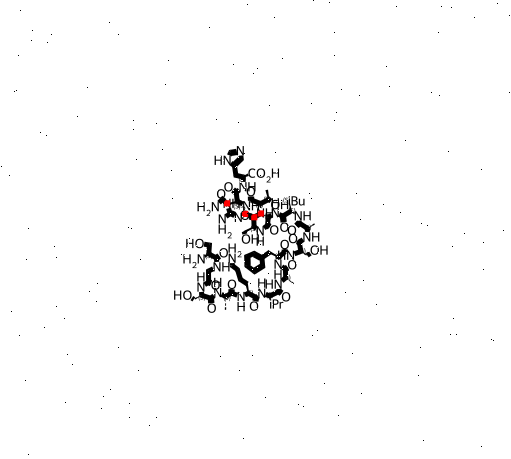 CC[C@H](C)[C@H](NC(=O)[C@H](C)NC(=O)[C@H](CO)NC(=O)[C@H](Cc1ccccc1)NC(=O)[C@H](C)NC(=O)[C@@H](NC(=O)[C@H](CCCCN)NC(=O)[C@H](C)NC(=O)[C@H](CO)NC(=O)CNC(=O)[C@@H](N)CO)C(C)C)C(=O)N[C@@H](CCCN=C(N)N)C(=O)N[C@@H](CO)C(=O)N[C@H](C(=O)N[C@@H](CC(N)=O)C(=O)N[C@@H](Cc1cnc[nH]1)C(=O)O)[C@@H](C)O